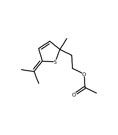 CC(=O)OCCC1(C)C=CC(=C(C)C)S1